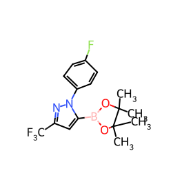 CC1(C)OB(c2cc(C(F)(F)F)nn2-c2ccc(F)cc2)OC1(C)C